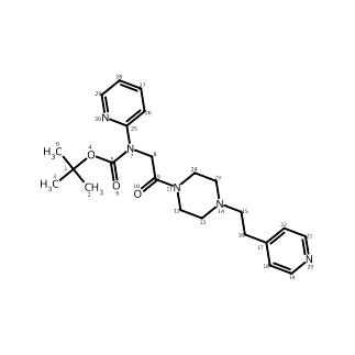 CC(C)(C)OC(=O)N(CC(=O)N1CCN(CCc2ccncc2)CC1)c1ccccn1